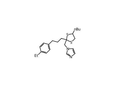 CCCCC1CSC(CCCc2ccc(CC)cc2)(Cn2ccnc2)S1